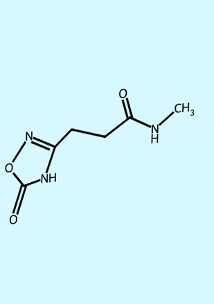 CNC(=O)CCc1noc(=O)[nH]1